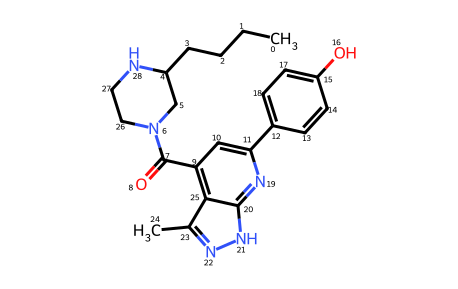 CCCCC1CN(C(=O)c2cc(-c3ccc(O)cc3)nc3[nH]nc(C)c23)CCN1